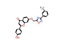 O=c1cc(-c2ccc(O)cc2)oc2cc(OCc3nc(-c4cccc(C(F)(F)F)c4)no3)ccc12